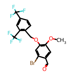 COc1cc(C=O)c(Br)cc1OCc1ccc(C(F)(F)F)cc1C(F)(F)F